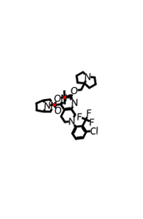 CC(C)(C)OC(=O)N1C2CCC1CN(c1nc(OCC34CCCN3CCC4)nc3c1CCN(c1cccc(Cl)c1C(F)(F)F)C3)C2